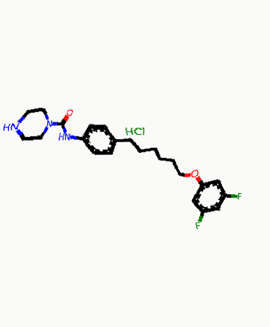 Cl.O=C(Nc1ccc(CCCCCCOc2cc(F)cc(F)c2)cc1)N1CCNCC1